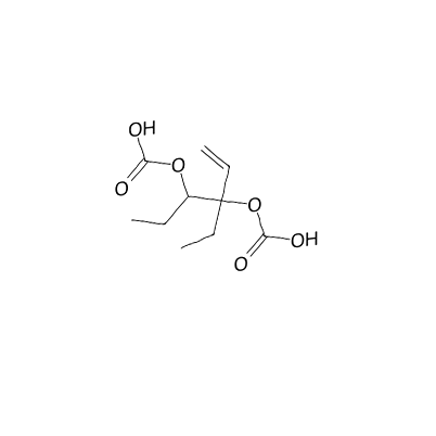 C=CC(CC)(OC(=O)O)C(CC)OC(=O)O